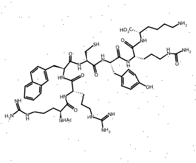 CC(=O)N[C@@H](CCCNC(=N)N)C(=O)N[C@@H](CCCNC(=N)N)C(=O)N[C@@H](Cc1ccc2ccccc2c1)C(=O)N[C@@H](CS)C(=O)N[C@@H](Cc1ccc(O)cc1)C(=O)N[C@@H](CCCNC(N)=O)C(=O)N[C@@H](CCCCN)C(=O)O